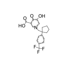 O=C(O)c1cn(CC2(c3ccc(C(F)(F)F)cc3)CCCC2)cc(O)c1=O